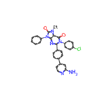 CCn1c(=O)n(-c2ccccc2)c2nc(-c3ccc(-c4ccnc(N)c4)cc3)n(-c3ccc(Cl)cc3)c(=O)c21